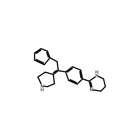 c1ccc(CC(=C2CCNCC2)c2ccc(C3=NCCCN3)cc2)cc1